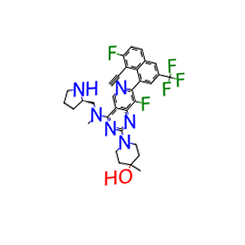 C#Cc1c(F)ccc2cc(C(F)(F)F)cc(-c3ncc4c(N(C)C[C@H]5CCCN5)nc(N5CCC(C)(O)CC5)nc4c3F)c12